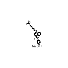 CCC(=O)OCCCCCOc1ccc(C(=O)Oc2ccc(C(=O)OC)cc2)c2ccccc12